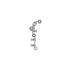 Cc1cc(N2CCN(Cc3ccccc3)CC2)nc(NCc2ccc(CNCCCNC3CCCCC3)cc2)n1